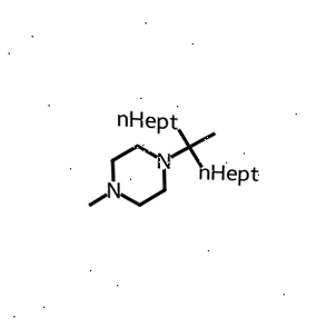 CCCCCCCC(C)(CCCCCCC)N1CCN(C)CC1